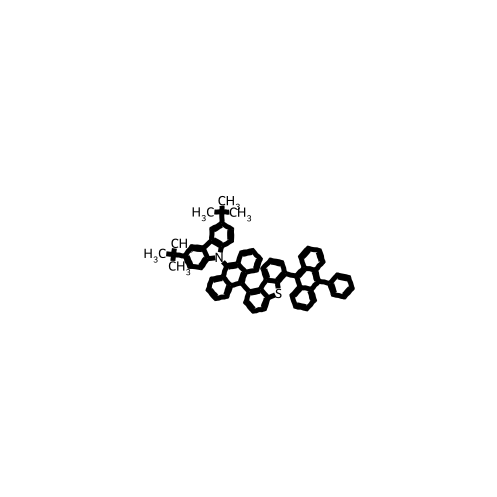 CC(C)(C)c1ccc2c(c1)c1cc(C(C)(C)C)ccc1n2-c1c2ccccc2c(-c2cccc3sc4c(-c5c6ccccc6c(-c6ccccc6)c6ccccc56)cccc4c23)c2ccccc12